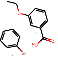 Brc1ccccc1.CCOc1cccc(C(=O)O)c1